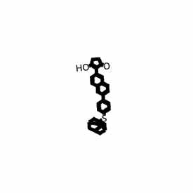 O=C1CCC(O)=C1c1ccc2cc(-c3ccc(SC45CC6CC(CC(C6)C4)C5)cc3)ccc2c1